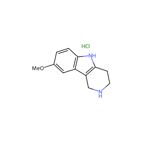 COc1ccc2[nH]c3c(c2c1)CNCC3.Cl